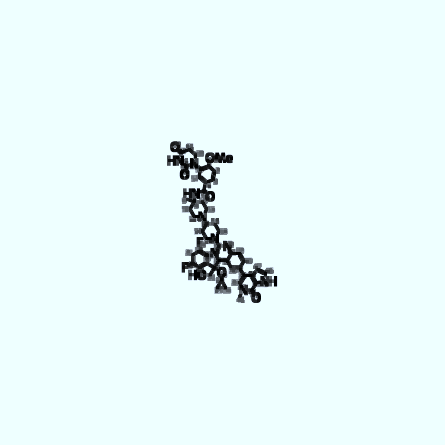 COc1ccc(C(=O)NC2(C)CCN(C3CCN(c4nc(C(CO)(OC5CC5)c5cc(F)cc(F)c5)c5cc(-c6cn(C)c(=O)c7[nH]ccc67)ccc5n4)CC3)CC2)cc1N1CCC(=O)NC1=O